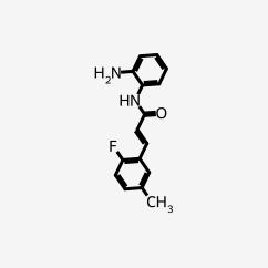 Cc1ccc(F)c(/C=C/C(=O)Nc2ccccc2N)c1